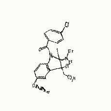 CCN(CC)C1(C)N(C(=O)c2ccc(Cl)cc2)c2ccc(OC)cc2C1(CC)CC(=O)O